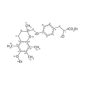 CCOC(=O)C(Cl)Cc1ccc(OCC2(C)CCc3c(C)c(OCC)c(C)c(C)c3O2)cc1